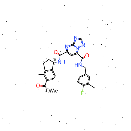 COC(=O)c1ccc2c(c1C)CC[C@@H]2NC(=O)c1cc(C(=O)NCc2ccc(F)c(C)c2)n2ncnc2n1